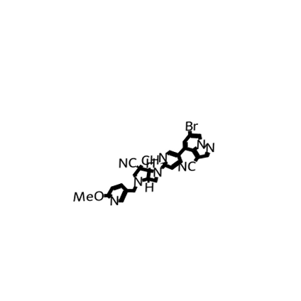 COc1ccc(CN2C[C@@](C)(C#N)[C@H]3[C@@H]2CN3c2ccc(-c3cc(Br)cn4ncc(C#N)c34)cn2)cn1